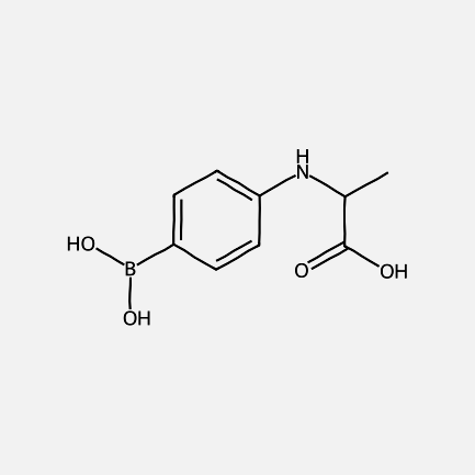 CC(Nc1ccc(B(O)O)cc1)C(=O)O